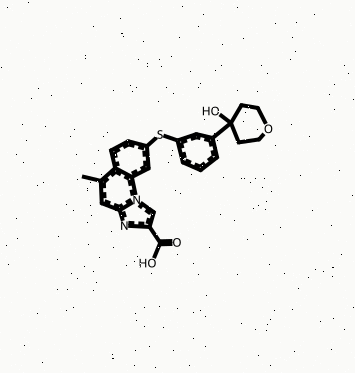 Cc1cc2nc(C(=O)O)cn2c2cc(Sc3cccc(C4(O)CCOCC4)c3)ccc12